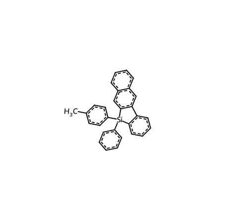 Cc1ccc([Si]2(c3ccccc3)c3ccccc3-c3cc4ccccc4cc32)cc1